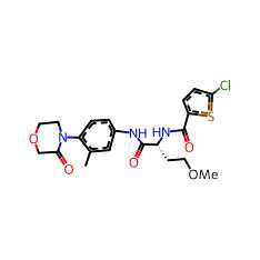 COCC[C@@H](NC(=O)c1ccc(Cl)s1)C(=O)Nc1ccc(N2CCOCC2=O)c(C)c1